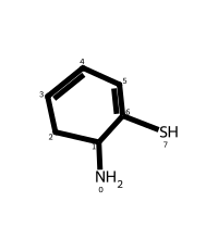 NC1CC=CC=C1S